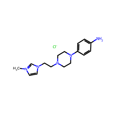 C[n+]1ccn(CCN2CCN(c3ccc(N)cc3)CC2)c1.[Cl-]